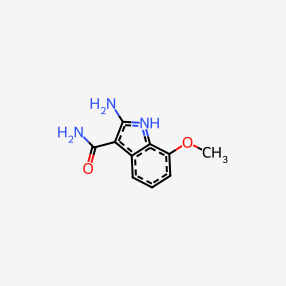 COc1cccc2c(C(N)=O)c(N)[nH]c12